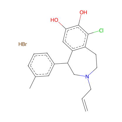 Br.C=CCN1CCc2c(cc(O)c(O)c2Cl)C(c2cccc(C)c2)C1